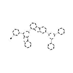 N#Cc1cccc(-c2nc(-c3cccc4c3sc3cc(-c5nc(-c6ccccc6)nc(-c6ccccc6)n5)ccc34)nc3c2sc2ccccc23)c1